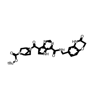 CC(C)(C)OC(=O)N1CC2CC1CN2C(=O)c1c[nH]c2c(C(=O)NCc3ccc4c(c3)NC(=O)CO4)ncnc12